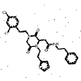 O=C(CC1C(=O)N(CCc2ccc(Cl)cc2Cl)CC(=O)N1CCc1cccs1)NCCc1ccccc1